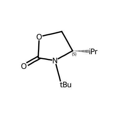 CC(C)[C@H]1COC(=O)N1C(C)(C)C